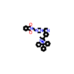 Cc1nn(C(c2ccccc2)(c2ccccc2)C2C=CC=CC2)cc1-c1ccc2nccc(N3CCN(CCN4C(=O)c5ccccc5C4=O)CC3)c2c1